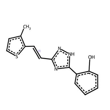 Cc1ccsc1/C=C/c1n[nH]c(-c2ccccc2O)n1